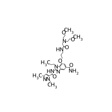 CCCn1c(NC(=O)c2cc(C)nn2CC)nc2cc(C(N)=O)cc(OCCCNC(=O)CN(CCOC)CCOC)c21